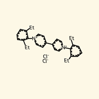 CCc1cccc(CC)c1-[n+]1ccc(-c2cc[n+](-c3c(CC)cccc3CC)cc2)cc1.[Cl-].[Cl-]